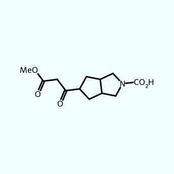 COC(=O)CC(=O)C1CC2CN(C(=O)O)CC2C1